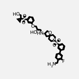 NCc1ccc(-c2cccc(S(=O)(=O)N3CCC4(CC3)C[C@H](NC[C@H](O)COc3cccc(S(=O)(=O)C5(CO)CC5)c3)CO4)c2)cc1F